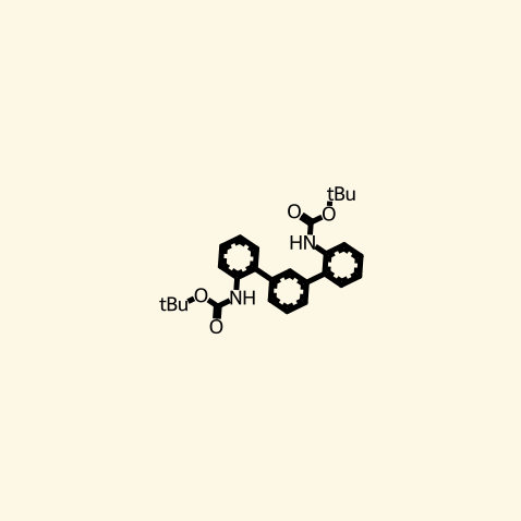 CC(C)(C)OC(=O)Nc1ccccc1-c1cccc(-c2ccccc2NC(=O)OC(C)(C)C)c1